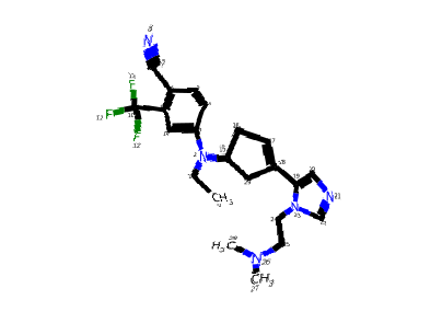 CCN(c1ccc(C#N)c(C(F)(F)F)c1)C1CC=C(c2cncn2CCN(C)C)C1